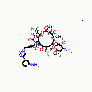 CC[C@H]1OC(=O)[C@@](C)(F)C(=O)[C@H](C)[C@@H](O[C@@H]2O[C@H](C)CC(N)C2O)[C@](C)(OC)C[C@@H](C)C(=O)[C@H](C)[C@H]2N(CC#CCn3cc(-c4cccc(N)c4)nn3)C(=O)O[C@]12C